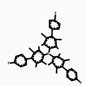 Cc1c(C)c(-c2ccc(F)cc2)c(C)c(C)c1B(c1c(C)c(C)c(-c2ccc(F)cc2)c(C)c1C)c1c(C)c(C)c(-c2ccc(F)cc2)c(C)c1C